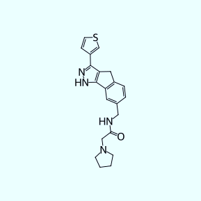 O=C(CN1CCCC1)NCc1ccc2c(c1)-c1[nH]nc(-c3ccsc3)c1C2